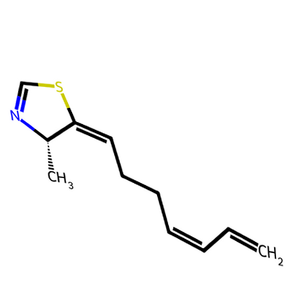 C=C/C=C\CC/C=C1/SC=N[C@H]1C